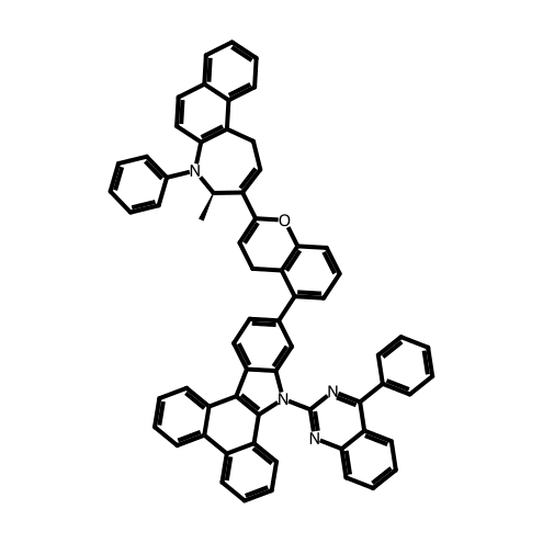 C[C@@H]1C(C2=CCc3c(cccc3-c3ccc4c5c6ccccc6c6ccccc6c5n(-c5nc(-c6ccccc6)c6ccccc6n5)c4c3)O2)=CCc2c(ccc3ccccc23)N1c1ccccc1